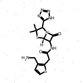 CC1(C)S[C@H]2C(NC(=O)Cc3sccc3CN)C(=O)N2C1c1nnn[nH]1